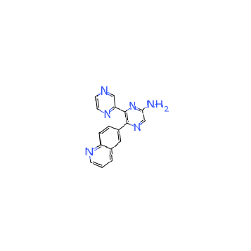 Nc1cnc(-c2ccc3ncccc3c2)c(-c2cnccn2)n1